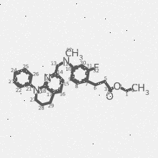 CCOC(=O)CCc1ccc(N(C)Cc2ccc3c(n2)N(c2ccccc2)CCC3)cc1F